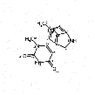 Cc1cc2c(N)c(c1)NC2.Cn1ccc(=O)[nH]c1=O